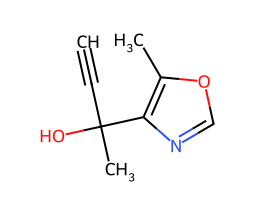 C#CC(C)(O)c1ncoc1C